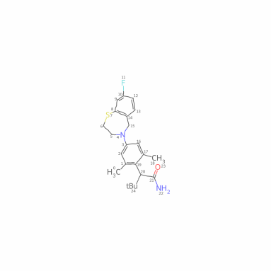 Cc1cc(N2CCSc3cc(F)ccc3C2)cc(C)c1C(C(N)=O)C(C)(C)C